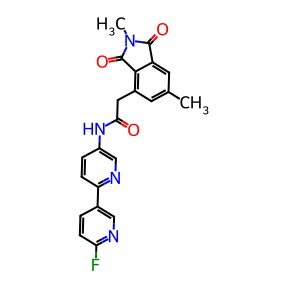 Cc1cc(CC(=O)Nc2ccc(-c3ccc(F)nc3)nc2)c2c(c1)C(=O)N(C)C2=O